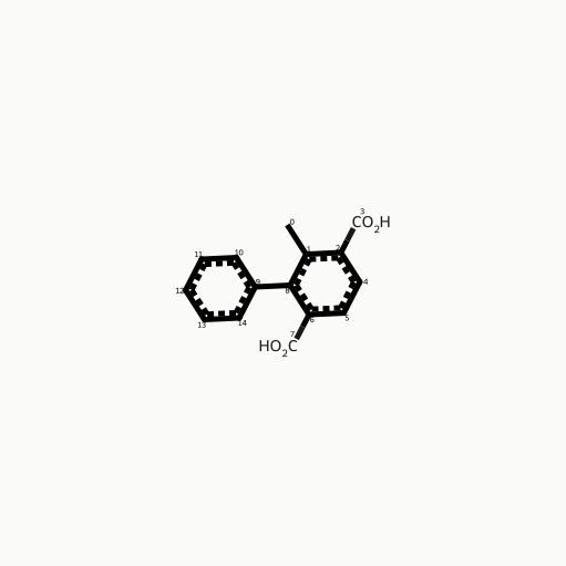 Cc1c(C(=O)O)ccc(C(=O)O)c1-c1ccccc1